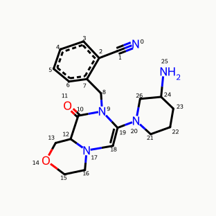 N#Cc1ccccc1CN1C(=O)C2COCCN2C=C1N1CCCC(N)C1